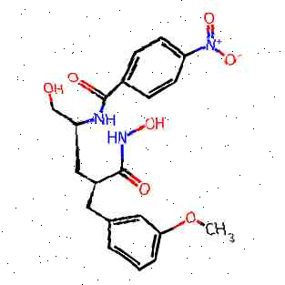 COc1cccc(C[C@@H](C[C@@H](CO)NC(=O)c2ccc([N+](=O)[O-])cc2)C(=O)NO)c1